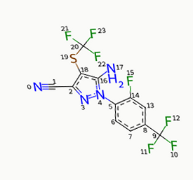 N#Cc1nn(-c2ccc(C(F)(F)F)cc2F)c(N)c1SC(F)(F)F